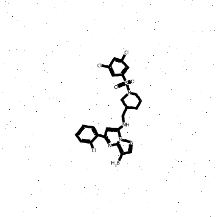 Bc1cnn2c(NCC3CCCN(S(=O)(=O)c4cc(Cl)cc(Cl)c4)C3)cc(-c3ccccc3Cl)nc12